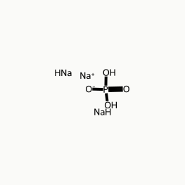 O=P([O-])(O)O.[Na+].[NaH].[NaH]